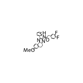 COc1ccc2c(c1)CCc1nc(NC(=O)Cc3ccc(F)c(F)c3)c(-c3cccs3)nc1-2